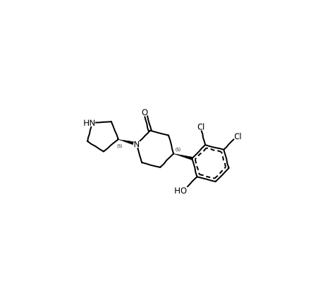 O=C1C[C@@H](c2c(O)ccc(Cl)c2Cl)CCN1[C@H]1CCNC1